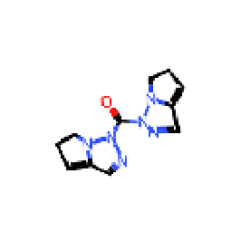 O=C(N1N=CC2=CCCN21)N1N=CC2=CCCN21